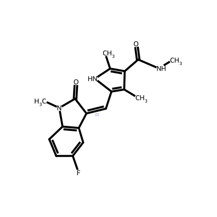 CNC(=O)c1c(C)[nH]c(/C=C2\C(=O)N(C)c3ccc(F)cc32)c1C